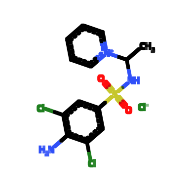 CC(NS(=O)(=O)c1cc(Cl)c(N)c(Cl)c1)[n+]1ccccc1.[Cl-]